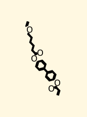 C=COCCCCCC(=O)Oc1ccc(-c2ccc(OC(=O)C=C)cc2)cc1